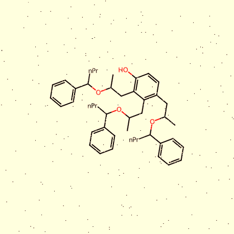 CCCC(OC(C)Cc1ccc(O)c(CC(C)OC(CCC)c2ccccc2)c1CC(C)OC(CCC)c1ccccc1)c1ccccc1